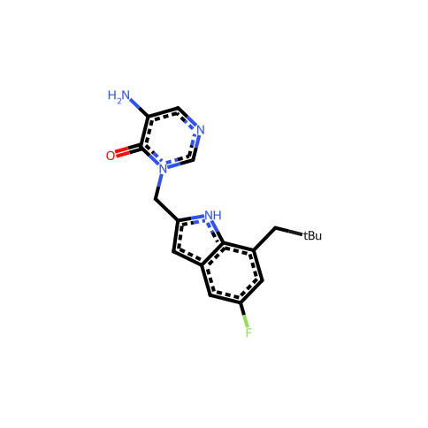 CC(C)(C)Cc1cc(F)cc2cc(Cn3cncc(N)c3=O)[nH]c12